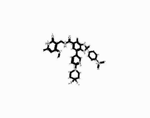 CSc1cc(C)[nH]c(=O)c1CNC(=O)c1cc(-c2ccc(N3CCC(F)(F)CC3)nc2)c2c(c1C)OC(C)([C@H]1CC[C@H](N(C)C)CC1)O2